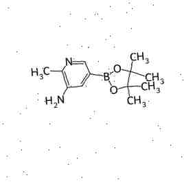 Cc1ncc(B2OC(C)(C)C(C)(C)O2)cc1N